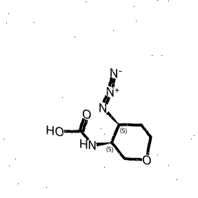 [N-]=[N+]=N[C@H]1CCOC[C@H]1NC(=O)O